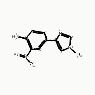 Cn1cnc(-c2ccc(N)c([N+](=O)[O-])c2)c1